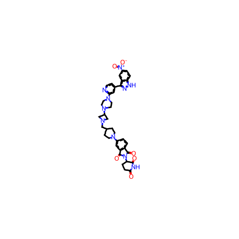 O=C1CCC(N2C(=O)c3ccc(N4CCC(CN5CC(N6CCN(c7cc(-c8n[nH]c9ccc([N+](=O)[O-])cc89)ccn7)CC6)C5)CC4)cc3C2=O)C(=O)N1